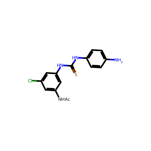 CC(=O)Nc1cc(Cl)cc(NC(=S)Nc2ccc(N)cc2)c1